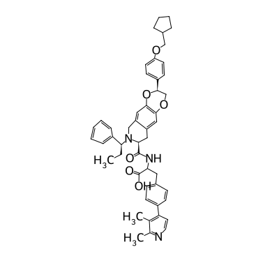 CC[C@@H](c1ccccc1)N1Cc2cc3c(cc2C[C@H]1C(=O)NC(Cc1ccc(-c2ccnc(C)c2C)cc1)C(=O)O)OC[C@H](c1ccc(OCC2CCCC2)cc1)O3